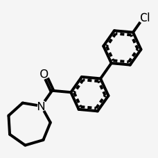 O=C(c1cccc(-c2ccc(Cl)cc2)c1)N1CCCCCC1